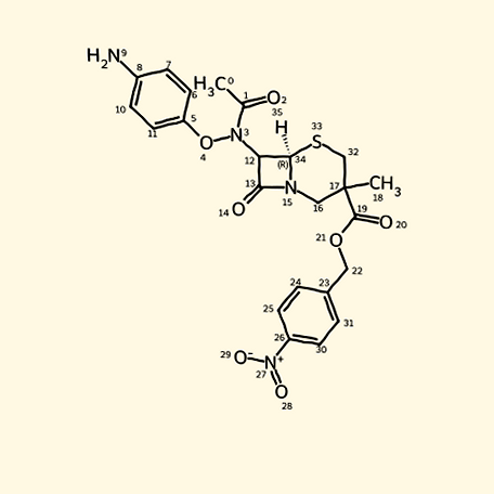 CC(=O)N(Oc1ccc(N)cc1)C1C(=O)N2CC(C)(C(=O)OCc3ccc([N+](=O)[O-])cc3)CS[C@H]12